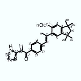 CCCCCCCCc1cc2c(cc1/C(C)=C/c1ccc(C(=O)Nc3nnn[nH]3)cc1)C(C)(C)CC2(C)C